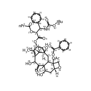 CCCC(=O)O[C@H](C(=O)O[C@H]1CC2(O)[C@H](OC(=O)c3ccccc3)[C@@H]3C(C)(C(=O)C(O)C(=C1C)C2(C)C)C(O)C[C@H]1OCC31OC(C)=O)C(NC(=O)OC(C)(C)C)c1ccccc1